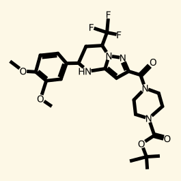 COc1ccc(C2CC(C(F)(F)F)n3nc(C(=O)N4CCN(C(=O)OC(C)(C)C)CC4)cc3N2)cc1OC